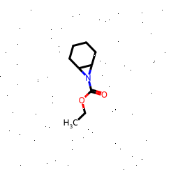 CCOC(=O)N1C2CCCCC21